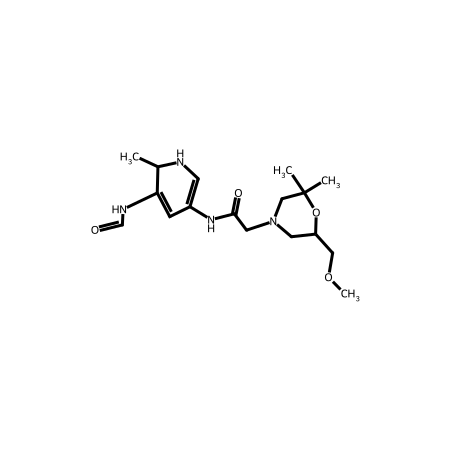 COCC1CN(CC(=O)NC2=CNC(C)C(NC=O)=C2)CC(C)(C)O1